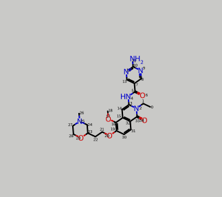 CCn1c(NC(=O)c2cnc(N)nc2)cc2c(OC)c(OCCC3CN(C)CCO3)ccc2c1=O